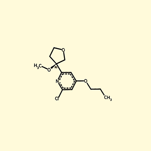 CCCOc1cc(Cl)nc([C@]2(OC)CCOC2)c1